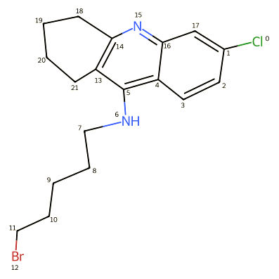 Clc1ccc2c(NCCCCCBr)c3c(nc2c1)CCCC3